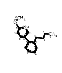 CCCCc1ccccc1-c1[c]nc(OC)cc1